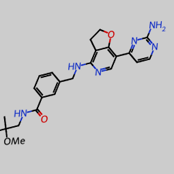 COC(C)(C)CNC(=O)c1cccc(CNc2ncc(-c3ccnc(N)n3)c3c2CCO3)c1